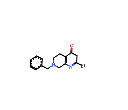 CCC1=NC2=C(CCN(Cc3ccccc3)C2)C(=O)C1